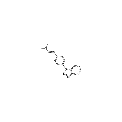 CN(C)/C=N/c1ccc(-n2nnc3ccccc32)cn1